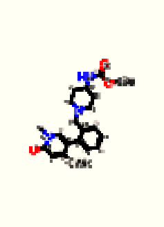 COc1cc(=O)n(C)cc1-c1ccccc1CN1CCC(NC(=O)OC(C)(C)C)CC1